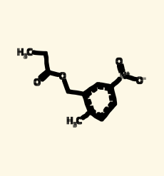 CCC(=O)OCc1cc([N+](=O)[O-])ccc1C